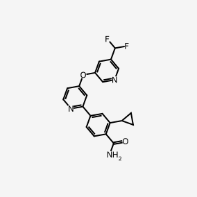 NC(=O)c1ccc(-c2cc(Oc3cncc(C(F)F)c3)ccn2)cc1C1CC1